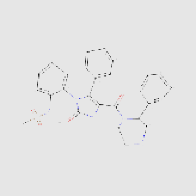 CS(=O)(=O)Nc1ccccc1-n1c(-c2ccccc2)c(C(=O)N2CCNCC2c2ccccc2)[nH]c1=O